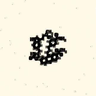 CN(C)CCc1c[nH]c2ccc(C[C@H]3COC(=O)N3)cc12.CS(=O)(=O)c1ccc2c(c1)N(CCCN1CCC(C(N)=O)CC1)c1ccccc1S2